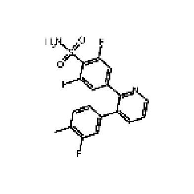 Cc1ccc(-c2cccnc2-c2cc(F)c(S(N)(=O)=O)c(F)c2)cc1F